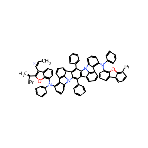 C=C(c1oc2c(N(c3ccccc3)c3cccc4c3c3cccc5c6c(-c7ccccc7)c7c(c(-c8ccccc8)c6n4c35)c3cccc4c5c(N(c6ccccc6)c6cccc8c6oc6c(C(C)C)cccc68)cccc5n7c43)cccc2c1/C=C\C)C(C)C